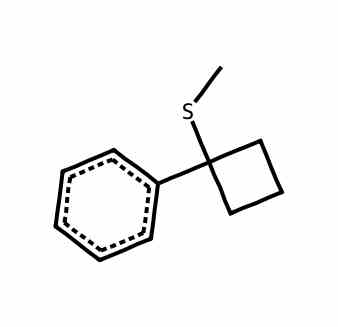 CSC1(c2ccccc2)CCC1